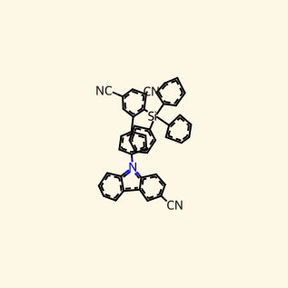 N#Cc1cc(C#N)c([Si](c2ccccc2)(c2ccccc2)c2ccccc2)c(-c2ccc(-n3c4ccccc4c4cc(C#N)ccc43)cc2)c1